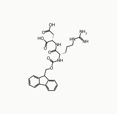 N=C(N)NCCC[C@H](NC(=O)OCC1c2ccccc2-c2ccccc21)C(=O)N[C@@H](CC(=O)O)C(=O)O